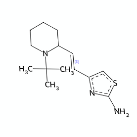 CC(C)(C)N1CCCCC1/C=C/c1csc(N)n1